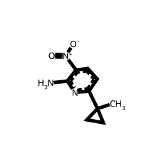 CC1(c2ccc([N+](=O)[O-])c(N)n2)CC1